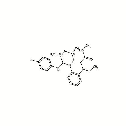 CCC(CC(=O)OC)c1ccccc1N1C[C@@H](C)O[C@@H](C)C1Nc1ccc(Cl)cc1